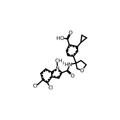 Cn1c(C(=O)NC2(c3ccc(C(=O)O)c(C4CC4)c3)CCOC2)cc2c(Cl)c(Cl)ccc21